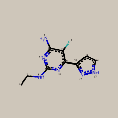 CCNc1nc(N)c(F)c(-c2cc[nH]n2)n1